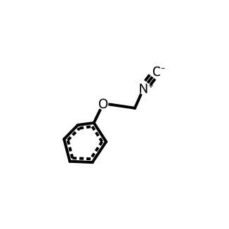 [C-]#[N+]COc1ccccc1